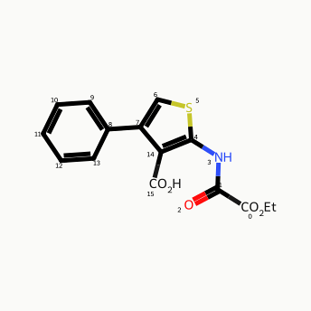 CCOC(=O)C(=O)Nc1scc(-c2ccccc2)c1C(=O)O